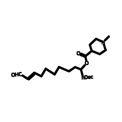 CCCCCCCCCCC(CCCCCCC=CC=O)OC(=O)C1CCN(C)CC1